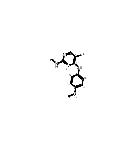 CNc1ncc(I)c(Nc2ccc(OC)cc2)n1